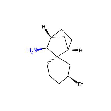 CC[C@H]1CCC[C@@]2(C1)[C@H]1CC[C@H](C1)[C@@H]2N